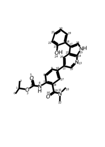 CC(C)OC(=O)Nc1ccc(-c2cnc3[nH]cc(-c4ccccc4O)c3c2)cc1C(=O)N(C)C